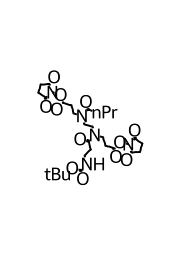 CCCC(=O)N(CCC(=O)ON1C(=O)CCC1=O)CCN(CCC(=O)ON1C(=O)CCC1=O)C(=O)CCNC(=O)OC(C)(C)C